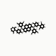 CC1=CCCC(C)=C1c1ccc(C)c(N(c2cc(C)cc(C)c2)c2ccc3ccc4c(N(c5cc(C)cc(C)c5)c5cc(-c6c(C)cccc6C)ccc5C)ccc5ccc2c3c54)c1